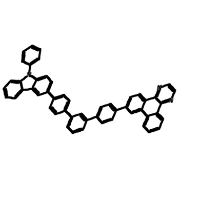 c1ccc(-n2c3ccccc3c3cc(-c4ccc(-c5cccc(-c6ccc(-c7ccc8c(c7)c7ccccc7c7nccnc87)cc6)c5)cc4)ccc32)cc1